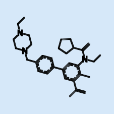 C=C(C)c1cc(-c2ccc(CN3CCN(CC)CC3)cc2)cc(N(CC)C(=C)C2CCCC2)c1C